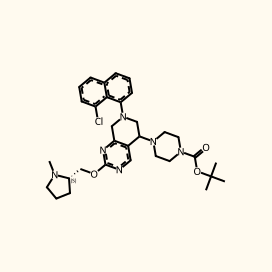 CN1CCC[C@H]1COc1ncc2c(n1)CN(c1cccc3cccc(Cl)c13)CC2N1CCN(C(=O)OC(C)(C)C)CC1